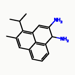 Cc1cc2cccc3c2c(c1C(C)C)C=C(N)C3N